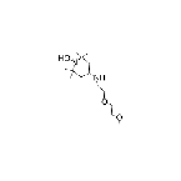 COCCOCCNC1CC(C)(C)N(O)C(C)(C)C1